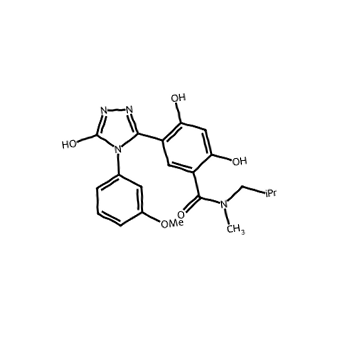 COc1cccc(-n2c(O)nnc2-c2cc(C(=O)N(C)CC(C)C)c(O)cc2O)c1